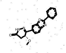 CO[C@@H]1CC(=O)NN=C1c1ccc2nc(-c3ccccc3)oc2c1